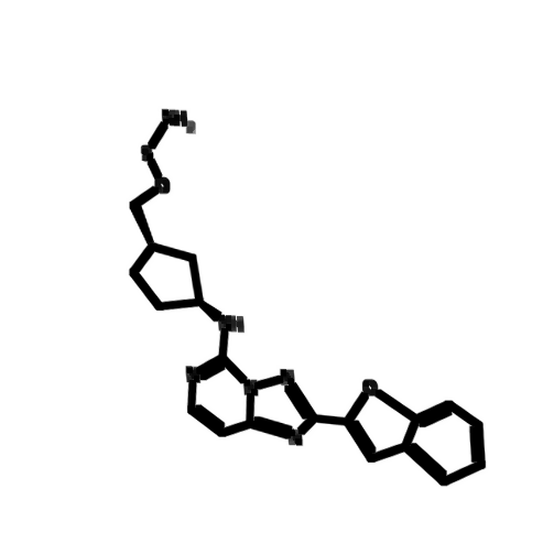 NSOC[C@@H]1CC[C@H](Nc2nccc3nc(-c4cc5ccccc5o4)nn23)C1